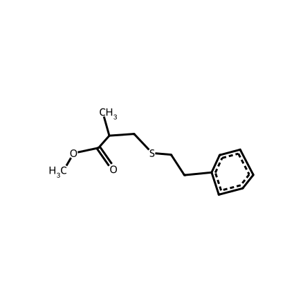 COC(=O)C(C)CSCCc1ccccc1